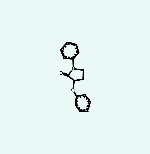 O=C1C(Oc2cc[c]cc2)CCN1c1ccccc1